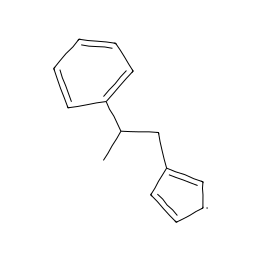 CC(CC1=C[CH]C=C1)c1ccccc1